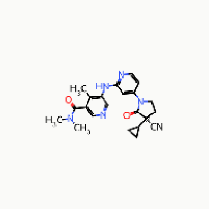 Cc1c(Nc2cc(N3CC[C@@](C#N)(C4CC4)C3=O)ccn2)cncc1C(=O)N(C)C